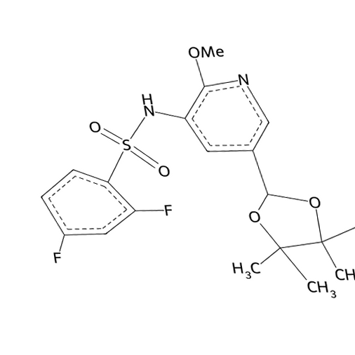 COc1ncc(C2OC(C)(C)C(C)(C)O2)cc1NS(=O)(=O)c1ccc(F)cc1F